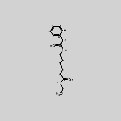 CCOC(=O)CCCCCOC(=O)Cc1ccccn1